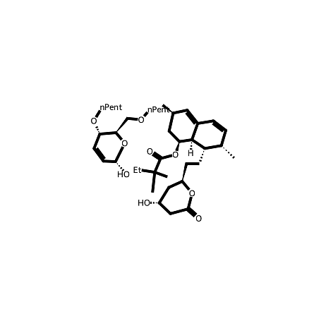 CCC(C)(C)C(=O)O[C@H]1C[C@@H](C)C=C2C=C[C@H](C)[C@H](CC[C@@H]3C[C@@H](O)CC(=O)O3)[C@H]21.CCCCCOC[C@H]1O[C@H](O)C=C[C@@H]1OCCCCC